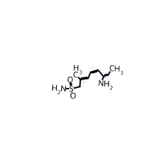 C\C=C(N)/C=C\C=C(/C)CS(N)(=O)=O